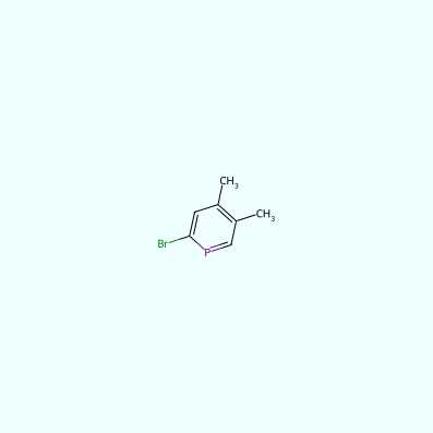 Cc1cpc(Br)cc1C